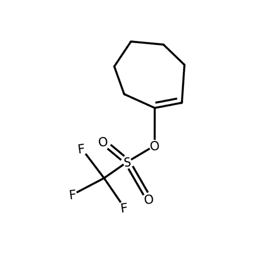 O=S(=O)(OC1=CCCCCC1)C(F)(F)F